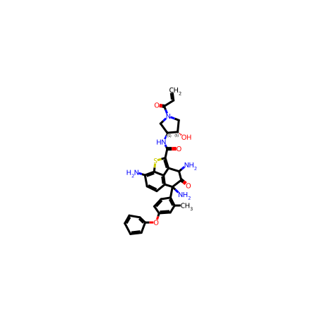 C=CC(=O)N1C[C@H](NC(=O)c2sc3c(N)ccc4c3c2C(N)C(=O)C4(N)c2ccc(Oc3ccccc3)cc2C)[C@@H](O)C1